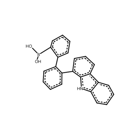 OB(O)c1ccccc1-c1ccccc1-c1cccc2c1[nH]c1ccccc12